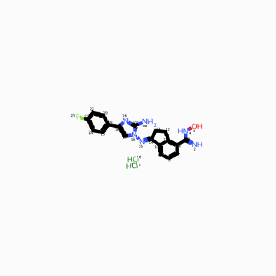 Cl.Cl.N=C(NO)c1cccc2c1CCC2=Nn1cc(-c2ccc(F)cc2)nc1N